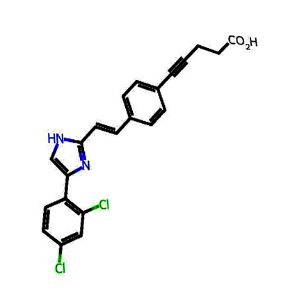 O=C(O)CCC#Cc1ccc(C=Cc2nc(-c3ccc(Cl)cc3Cl)c[nH]2)cc1